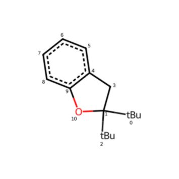 CC(C)(C)C1(C(C)(C)C)Cc2ccccc2O1